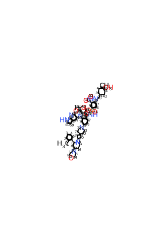 Cc1ccccc1[C@@H]1C[C@@H](N2CCOCC2)CCN1C1CC2(CCN(c3ccc(C(=O)NS(=O)(=O)c4ccc(NCC5CCC(C)(O)CC5)c([N+](=O)[O-])c4)c(N4c5cc6cc[nH]c6nc5O[C@H]5COCC[C@@H]54)c3)CC2)C1